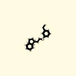 CCc1cccc(OCCC2CCc3ccccc32)c1